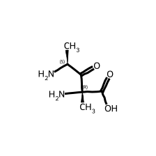 C[C@H](N)C(=O)[C@@](C)(N)C(=O)O